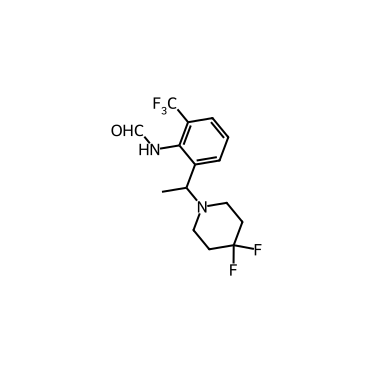 CC(c1cccc(C(F)(F)F)c1NC=O)N1CCC(F)(F)CC1